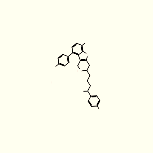 Cl.OC(CCCC1Cc2[nH]c3c(Cl)ccc(-c4ccc(F)cc4)c3c2CN1)c1ccc(F)cc1